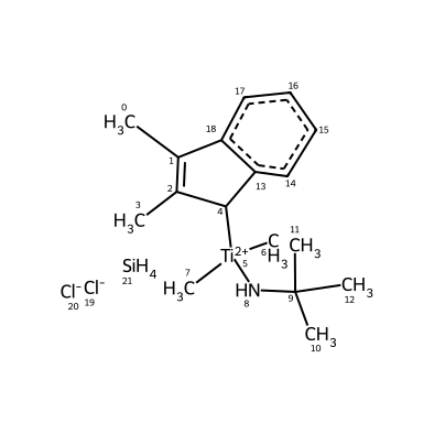 CC1=C(C)[CH]([Ti+2]([CH3])([CH3])[NH]C(C)(C)C)c2ccccc21.[Cl-].[Cl-].[SiH4]